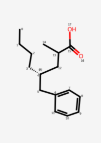 CCCC[C@@H](Cc1ccccc1)CC(C)C(=O)O